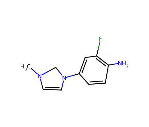 CN1C=CN(c2ccc(N)c(F)c2)C1